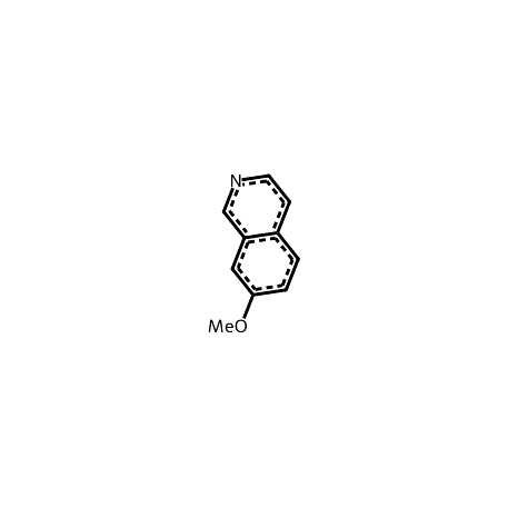 COc1ccc2ccncc2c1